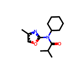 Cc1coc(N(C(=O)C(C)C)C2CCCCC2)n1